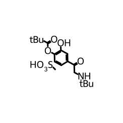 CC(C)(C)NCC(=O)c1ccc(OC(=O)C(C)(C)C)c(O)c1.CS(=O)(=O)O